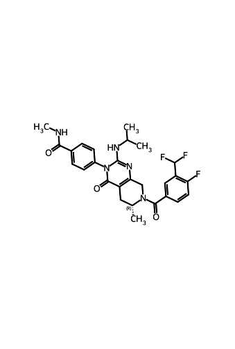 CNC(=O)c1ccc(-n2c(NC(C)C)nc3c(c2=O)C[C@@H](C)N(C(=O)c2ccc(F)c(C(F)F)c2)C3)cc1